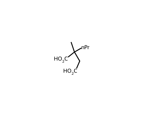 CCCC(C)(CC(=O)O)C(=O)O